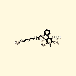 CCOC(=O)C1=C(C)NC(C)=C(C(=O)OCC)C1c1ccccc1OCCOCCOCCO[N+](=O)[O-]